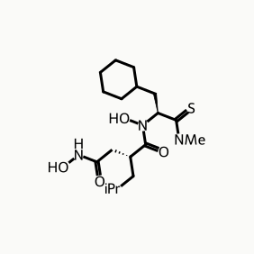 CNC(=S)[C@H](CC1CCCCC1)N(O)C(=O)[C@@H](CC(=O)NO)CC(C)C